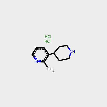 Cc1ncccc1C1CCNCC1.Cl.Cl